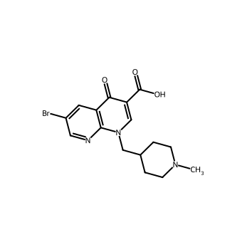 CN1CCC(Cn2cc(C(=O)O)c(=O)c3cc(Br)cnc32)CC1